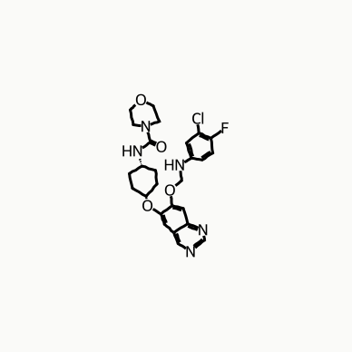 O=C(N[C@H]1CC[C@@H](Oc2cc3cncnc3cc2OCNc2ccc(F)c(Cl)c2)CC1)N1CCOCC1